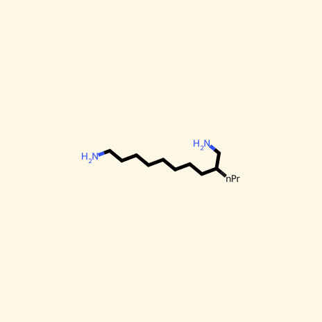 CCCC(CN)CCCCCCCCN